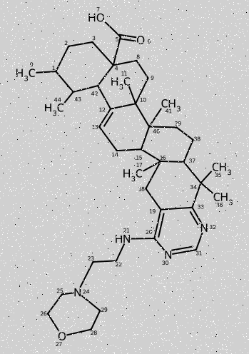 CC1CCC2(C(=O)O)CCC3(C)C(=CCC4C5(C)Cc6c(NCCN7CCOCC7)ncnc6C(C)(C)C5CCC43C)C2C1C